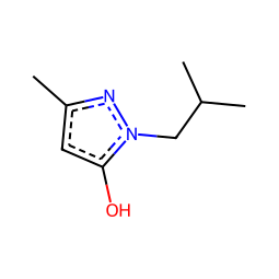 Cc1cc(O)n(CC(C)C)n1